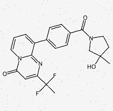 CC1(O)CCN(C(=O)c2ccc(-c3cccn4c(=O)cc(C(C)(F)F)nc34)cc2)C1